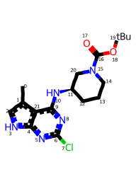 Cc1c[nH]c2nc(Cl)nc(N[C@@H]3CCCN(C(=O)OC(C)(C)C)C3)c12